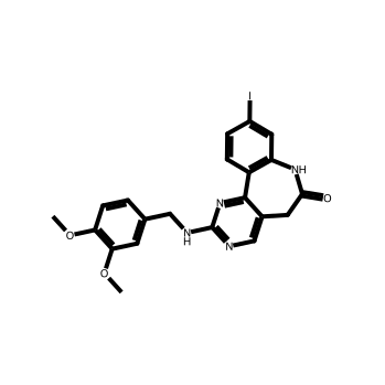 COc1ccc(CNc2ncc3c(n2)-c2ccc(I)cc2NC(=O)C3)cc1OC